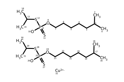 CC(C)CCCCCOP([O-])(=S)SC(C)C.CC(C)CCCCCOP([O-])(=S)SC(C)C.[Cu+2]